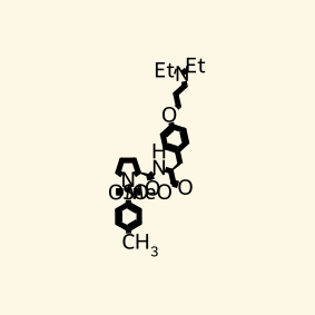 CCN(CC)CCCOc1ccc(C[C@H](NC(=O)[C@@H]2CCCN2S(=O)(=O)c2ccc(C)cc2)C(=O)OC)cc1